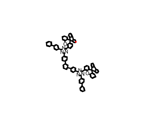 c1ccc(-c2ccc(-c3nc(-c4ccc(-c5cccc(-c6ccc(-c7nc(-c8ccc(-c9ccccc9)cc8)nc(-c8cccc9c8Oc8ccccc8C98c9ccccc9-c9ccccc98)n7)cc6)c5)cc4)nc(-c4cccc5c4Oc4ccccc4C54c5ccccc5-c5ccccc54)n3)cc2)cc1